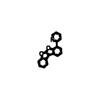 c1ccc(-c2cccc3c2oc2oc4ccccc4c23)nc1